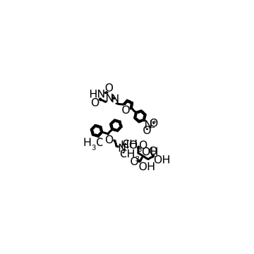 Cc1ccccc1C(OCCN(C)C)c1ccccc1.O=C(O)CC(O)(CC(=O)O)C(=O)O.O=C1CN(N=Cc2ccc(-c3ccc([N+](=O)[O-])cc3)o2)C(=O)N1